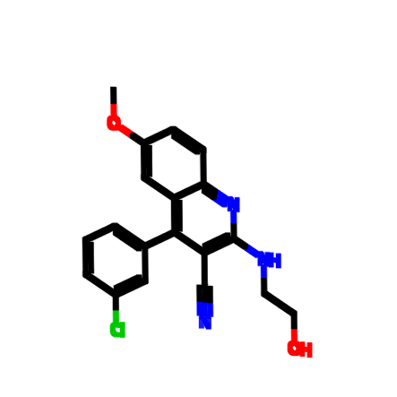 COc1ccc2nc(NCCO)c(C#N)c(-c3cccc(Cl)c3)c2c1